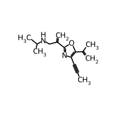 C=C(CNC(C)C)c1nc(C#CC)c(C(=C)C)o1